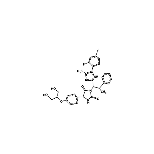 Cc1nc([C@H]([C@@H](C)c2ccccc2)N2C(=O)N[C@H](c3ccc(OC(CO)CO)cc3)C2=O)[nH]c1-c1ccc(I)cc1F